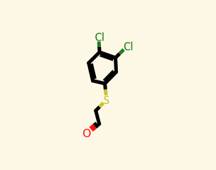 O=CCSc1ccc(Cl)c(Cl)c1